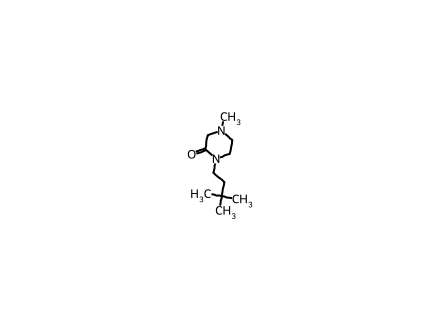 CN1CCN(CCC(C)(C)C)C(=O)C1